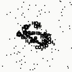 CC(C)[C@H](NC(=O)CBr)C(=O)N[C@@H](C)C(=O)N[C@@H](CCCCNC(=O)[C@@H](N)CCN(C(=O)CO)[C@@H](c1cc(-c2cc(F)ccc2F)cn1Cc1ccccc1)C(C)(C)C)C(=O)O.O=C(O)C(F)(F)F